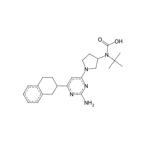 CC(C)(C)N(C(=O)O)C1CCN(c2cc(C3CCc4ccccc4C3)nc(N)n2)C1